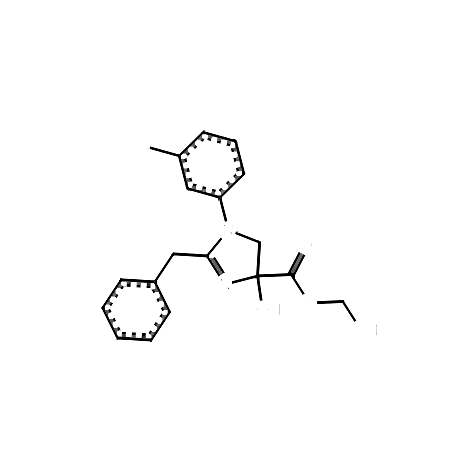 CCOC(=O)C1(O)CN(c2cccc(Cl)c2)C(Cc2ccccc2)=N1